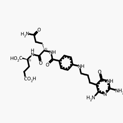 NC(=O)CC[C@H](NC(=O)c1ccc(NCCCc2c(N)nc(N)[nH]c2=O)cc1)C(=O)N[C@@H](CCC(=O)O)C(=O)O